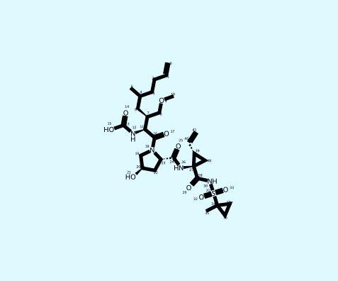 C=CCCC(C)C[C@@H](COC)[C@H](NC(=O)O)C(=O)N1C[C@H](O)C[C@H]1C(=O)N[C@]1(C(=O)NS(=O)(=O)C2(C)CC2)C[C@H]1C=C